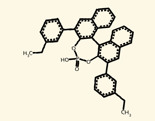 CCc1cccc(-c2cc3ccccc3c3c2OP(=O)(O)Oc2c(-c4cccc(CC)c4)cc4ccccc4c2-3)c1